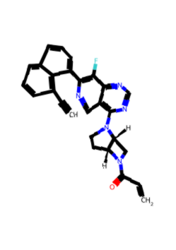 C#Cc1cccc2cccc(-c3ncc4c(N5CC[C@@H]6[C@H]5CN6C(=O)C=C)ncnc4c3F)c12